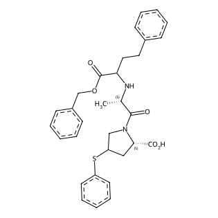 C[C@H](NC(CCc1ccccc1)C(=O)OCc1ccccc1)C(=O)N1CC(Sc2ccccc2)C[C@H]1C(=O)O